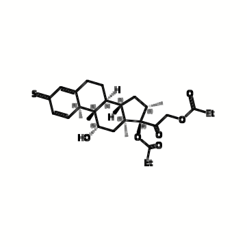 CCC(=O)OCC(=O)[C@@]1(OC(=O)CC)[C@@H](C)C[C@H]2[C@@H]3CCC4=CC(=S)C=C[C@]4(C)[C@@]3(C)[C@@H](O)C[C@@]21C